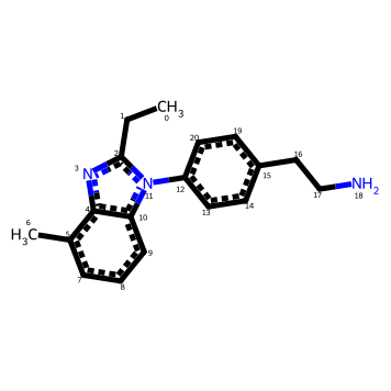 CCc1nc2c(C)cccc2n1-c1ccc(CCN)cc1